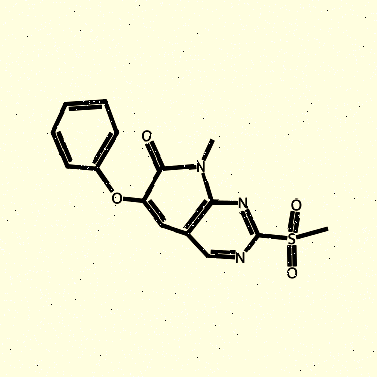 Cn1c(=O)c(Oc2ccccc2)cc2cnc(S(C)(=O)=O)nc21